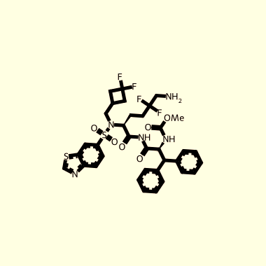 COC(=O)N[C@H](C(=O)NC(=O)[C@H](CCC(F)(F)CN)N(CC1CC(F)(F)C1)S(=O)(=O)c1ccc2ncsc2c1)C(c1ccccc1)c1ccccc1